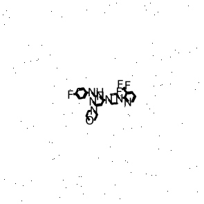 Fc1ccc(Nc2nc(N3CCOCC3)cc(N3CCN(c4ncccc4C(F)(F)F)CC3)n2)cc1